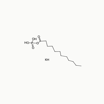 CCCCCCCCCCCC(=O)OP(=O)(O)O.[KH]